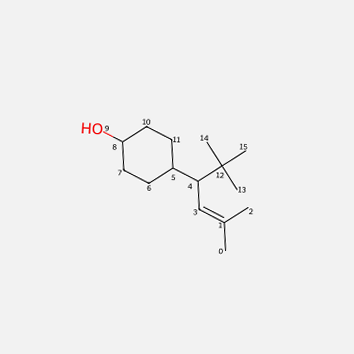 CC(C)=CC(C1CCC(O)CC1)C(C)(C)C